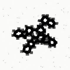 c1ccc2cc(-c3nc(-c4ccc5c(sc6ccccc65)c4-n4c5ccccc5c5cc6ccccc6cc54)nc(-c4cccc5ccccc45)n3)ccc2c1